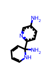 Nc1ccc(C2(N)C=CC=CN2)nc1